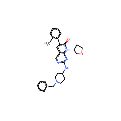 Cc1ccccc1-c1cc2cnc(NC3CCN(Cc4ccccc4)CC3)nc2n([C@@H]2CCOC2)c1=O